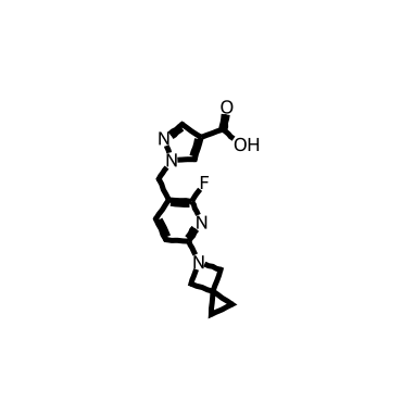 O=C(O)c1cnn(Cc2ccc(N3CC4(CC4)C3)nc2F)c1